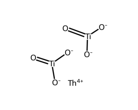 [O]=[Ti]([O-])[O-].[O]=[Ti]([O-])[O-].[Th+4]